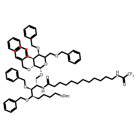 CCCCCCCCCCCCCC[C@@H](OCc1ccccc1)[C@@H](OCc1ccccc1)[C@H](CO[C@H]1OC(COCc2ccccc2)[C@H](OCc2ccccc2)[C@H](OCc2ccccc2)[C@H]1OCc1ccccc1)NC(=O)CCCCCCCCCCCNC(=O)C(F)(F)F